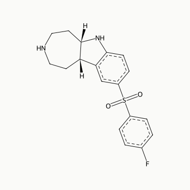 O=S(=O)(c1ccc(F)cc1)c1ccc2c(c1)[C@@H]1CCNCC[C@@H]1N2